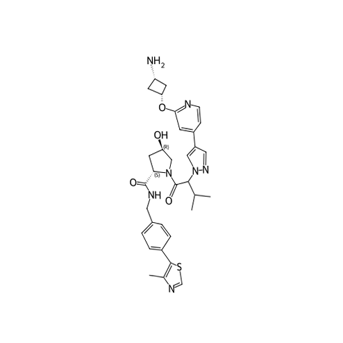 Cc1ncsc1-c1ccc(CNC(=O)[C@@H]2C[C@@H](O)CN2C(=O)C(C(C)C)n2cc(-c3ccnc(O[C@H]4C[C@@H](N)C4)c3)cn2)cc1